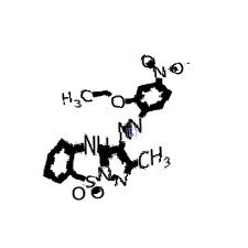 CCOc1cc([N+](=O)[O-])ccc1/N=N/c1c(C)nn2c1Nc1ccccc1S2(=O)=O